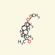 COCO[C@H]1CC[C@@]2(C)C(=CC[C@H]3[C@@H]4CC[C@H]([C@H](C)C=O)[C@@]4(C)CC[C@@H]32)C1